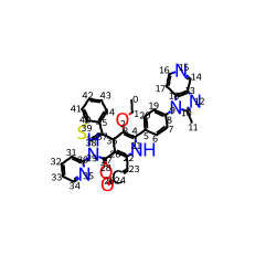 CCOC1=C(c2ccc(-n3c(C)nc4cnccc43)cc2)NC(C=C=O)=C(C(=O)Nc2ccccn2)C1c1csc2ccccc12